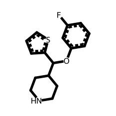 Fc1cccc(OC(c2cccs2)C2CCNCC2)c1